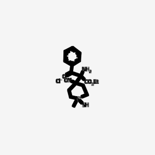 CCOC(=O)C(N)(C(=O)c1ccccc1)C1(N=O)CC[N+](C)(S)CC1.[Cl-]